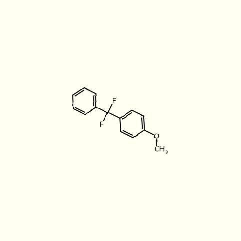 COc1ccc(C(F)(F)c2ccccc2)cc1